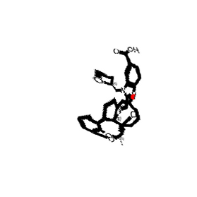 CC1CCCC23C(Cl)=CC=C2[C@@]2(C)Oc4cccc(c4O2)C2CCN(Cc4nc5ccc(C(=O)O)cc5n4C[C@@H]4CCO4)[C@@]23CC1